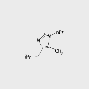 CCCn1[c]nc(CC(C)C)c1C